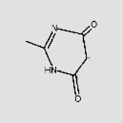 CC1=NC(=O)[C]C(=O)N1